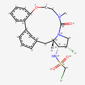 CN1CCOc2ccccc2-c2cccc(c2)C[C@H]2[C@@H](NS(=O)(=O)CF)[C@@H](F)CN2C1=O